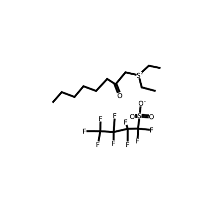 CCCCCCC(=O)C[S+](CC)CC.O=S(=O)([O-])C(F)(F)C(F)(F)C(F)(F)C(F)(F)F